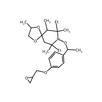 [CH2]C1COC2(CC(C)(CC)N(OC(C)c3ccc(OCC4CO4)cc3)C(C)(CC)C2C)O1